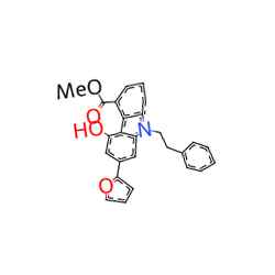 COC(=O)c1cccc2c1c1c(O)cc(-c3ccco3)cc1n2CCc1ccccc1